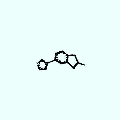 CC1Cc2ccc(-c3ccsc3)cc2C1